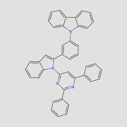 c1ccc(-c2cc(-n3c(-c4cccc(-n5c6ccccc6c6ccccc65)c4)cc4ccccc43)nc(-c3ccccc3)n2)cc1